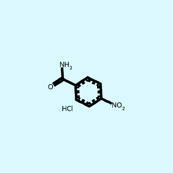 Cl.NC(=O)c1ccc([N+](=O)[O-])cc1